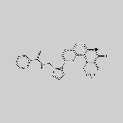 O=C(O)Cn1c(=O)c(=O)[nH]c2ccc3ccc(-n4cccc4CNC(=O)c4ccccc4)cc3c21